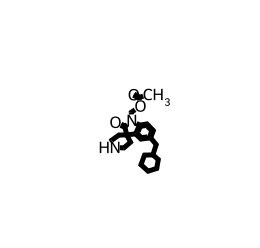 CC(=O)OCN1C(=O)C2(CCNCC2)c2cc(CC3CCCCC3)ccc21